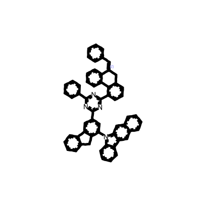 C(=C1\Cc2cccc(-c3nc(-c4ccccc4)nc(-c4cc5c(c(-n6c7ccccc7c7cc8ccccc8cc76)c4)Cc4ccccc4-5)n3)c2-c2ccccc21)/c1ccccc1